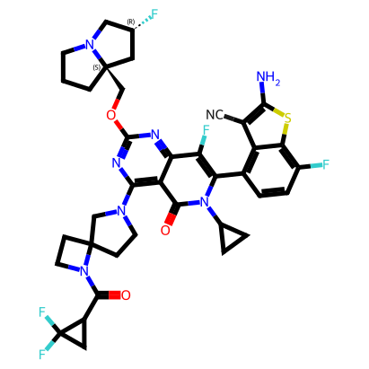 N#Cc1c(N)sc2c(F)ccc(-c3c(F)c4nc(OC[C@@]56CCCN5C[C@H](F)C6)nc(N5CCC6(CCN6C(=O)C6CC6(F)F)C5)c4c(=O)n3C3CC3)c12